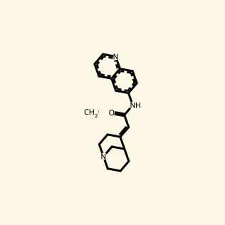 O=C(C=C1CCN2CCCC1C2)Nc1ccc2ncccc2c1.[CH2]